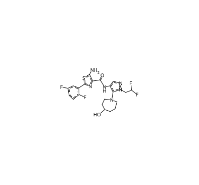 Nc1sc(-c2cc(F)ccc2F)nc1C(=O)Nc1cnn(CC(F)F)c1N1CCCC(O)CC1